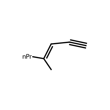 C#CC=C(C)CCC